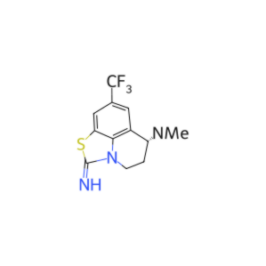 CN[C@@H]1CCn2c(=N)sc3cc(C(F)(F)F)cc1c32